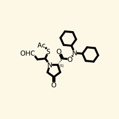 CC(=O)SC(CC=O)N1CC(=O)C[C@H]1C(=O)ON(C1CCCCC1)C1CCCCC1